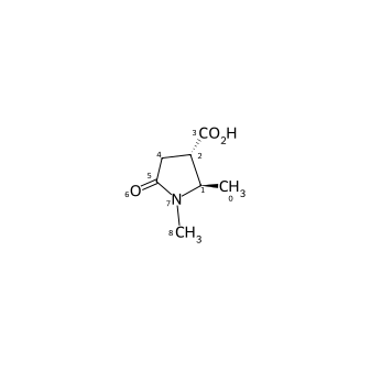 C[C@@H]1[C@@H](C(=O)O)CC(=O)N1C